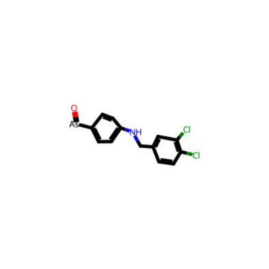 O=[As]c1ccc(NCc2ccc(Cl)c(Cl)c2)cc1